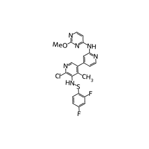 COc1nccc(Nc2cc(-c3cnc(Cl)c(NSc4ccc(F)cc4F)c3C)ccn2)n1